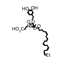 CC/C=C\C/C=C\C/C=C\C/C=C\C/C=C\CCCC(=O)OC(C)(C)[C@H](OCCc1ccc(O)c(O)c1)C(=O)NCCC(=O)O